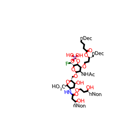 CCCCCCCCCCCCCC(=O)O[C@H](CCCCCCCCCCC)CCO[C@@H]1[C@@H](NC(C)=O)[C@H](OC[C@H]2O[C@H](C(=O)O)[C@H](NC(=O)C[C@H](O)CCCCCCCCC)[C@@H](OCC[C@H](O)CCCCCCCCC)[C@@H]2O)O[C@H](CF)[C@H]1OP(=O)(O)O